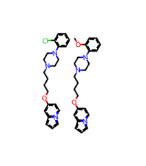 COc1ccccc1N1CCN(CCCCOc2ccn3cccc3c2)CC1.Clc1ccccc1N1CCN(CCCCOc2ccn3cccc3c2)CC1